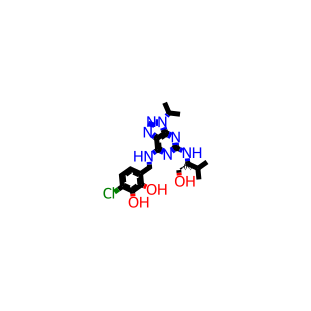 CC(C)[C@H](CO)Nc1nc(NCc2ccc(Cl)c(O)c2O)c2nnn(C(C)C)c2n1